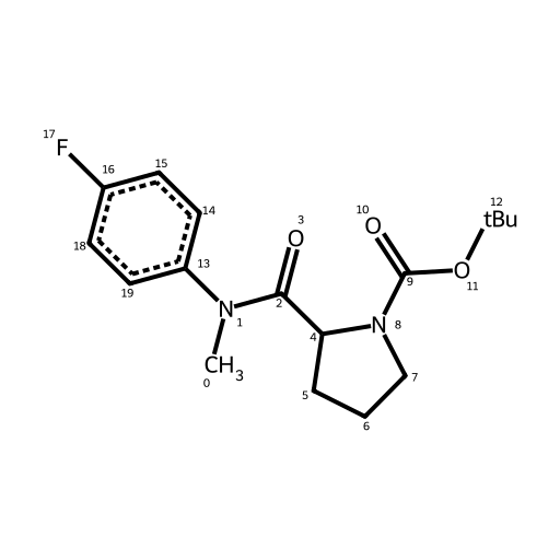 CN(C(=O)C1CCCN1C(=O)OC(C)(C)C)c1ccc(F)cc1